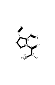 C=C[C@H]1CCN(C(=O)[C@H](C)N)[C@@H]1C=O